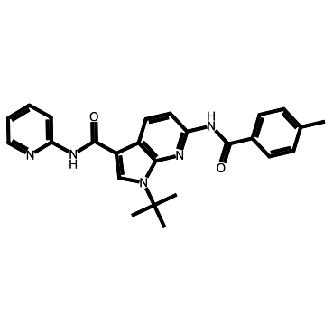 Cc1ccc(C(=O)Nc2ccc3c(C(=O)Nc4ccccn4)cn(C(C)(C)C)c3n2)cc1